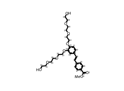 COC(=O)c1ccc(C=Cc2ccc(OCCOCCOCCO)c(OCCOCCOCCO)c2)cc1